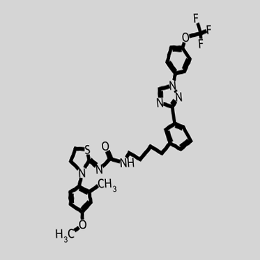 COc1ccc(N2CCS/C2=N\C(=O)NCCCCc2cccc(-c3ncn(-c4ccc(OC(F)(F)F)cc4)n3)c2)c(C)c1